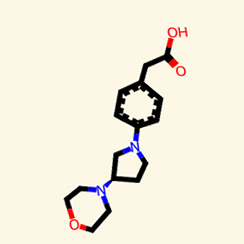 O=C(O)Cc1ccc(N2CC[C@@H](N3CCOCC3)C2)cc1